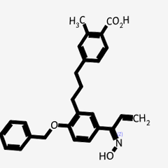 C=C/C(=N/O)c1ccc(OCc2ccccc2)c(CCCc2ccc(C(=O)O)c(C)c2)c1